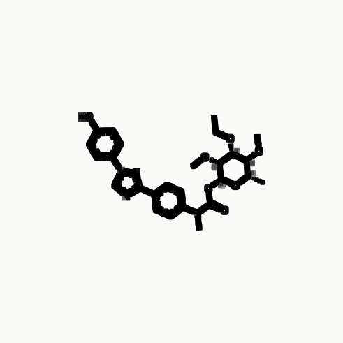 CCO[C@@H]1[C@@H](OC)[C@H](C)O[C@@H](OC(=O)N(C)c2ccc(-c3ncn(-c4ccc(O)cc4)n3)cc2)[C@@H]1OC